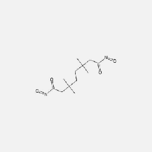 CC(C)(CCC(C)(C)CC(=O)N=O)CC(=O)N=O